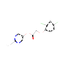 N#Cc1ncc(OC(=O)COc2ccc(Cl)cc2Cl)cn1